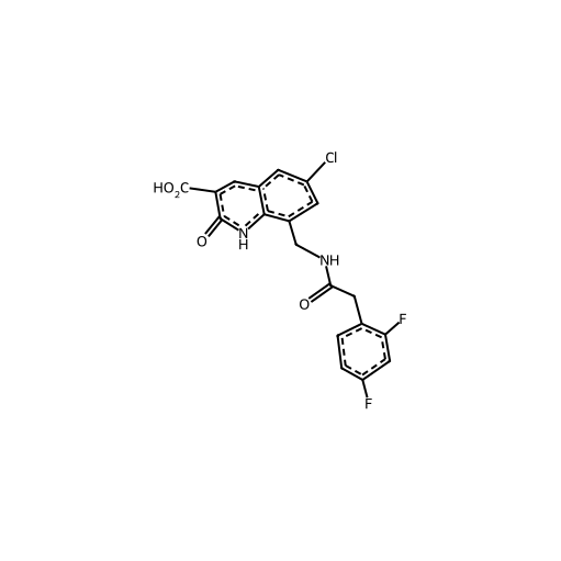 O=C(Cc1ccc(F)cc1F)NCc1cc(Cl)cc2cc(C(=O)O)c(=O)[nH]c12